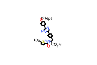 CCCCCCCOc1ccc(C2=CNC(c3ccc(C[C@H](NC(=O)c4ccc(C(C)(C)C)s4)C(=O)O)cc3)C=N2)cc1